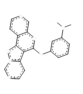 CN(C)c1cccc(Nc2nc3cnccc3c3nn4cnccc4c23)c1